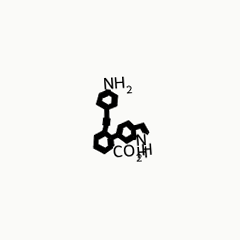 Nc1ccc(C#Cc2cccc(C(=O)O)c2-c2ccc3cc[nH]c3c2)cc1